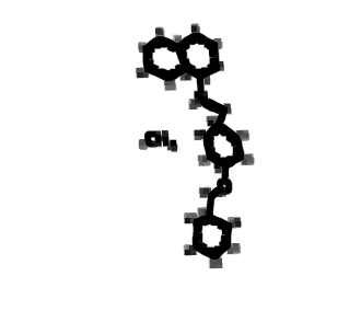 C.C(=Nc1cccc2ccccc12)c1ccc(OCc2ccccc2)cc1